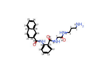 NCCCNC(=O)CNC(=O)c1ccccc1NC(=O)c1ccc2ccccc2c1